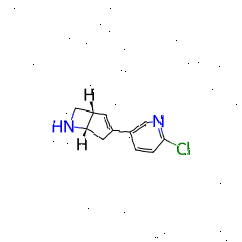 Clc1ccc(C2=C[C@H]3CN[C@H]3C2)cn1